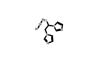 CCC(Cn1ccnc1)n1ccnc1.[Br][Ni][Br]